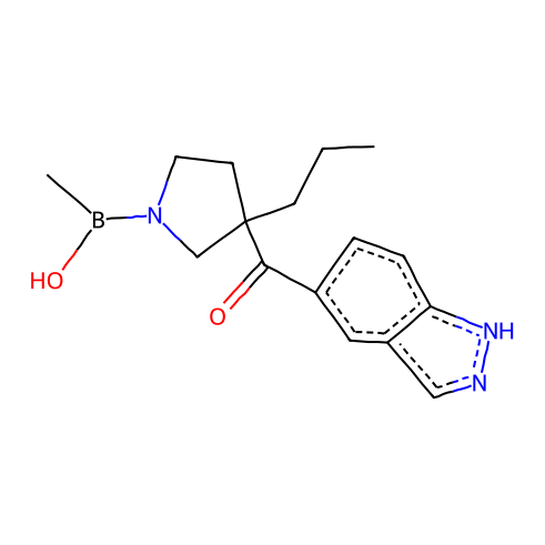 CCCC1(C(=O)c2ccc3[nH]ncc3c2)CCN(B(C)O)C1